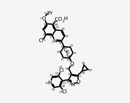 CC(C)Oc1cc(Cl)c2nc(C34CCC(OCc5c(-c6c(Cl)cncc6Cl)noc5C5CC5)(CC3)CC4)ccc2c1C(=O)O